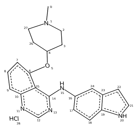 CN1CCC(Oc2cccc3ncnc(Nc4ccc5[nH]ccc5c4)c23)CC1.Cl